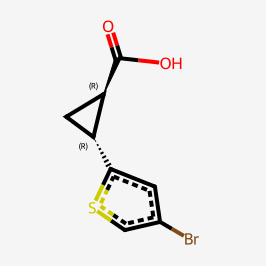 O=C(O)[C@@H]1C[C@H]1c1cc(Br)cs1